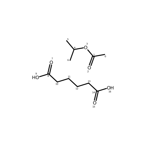 CC(=O)OC(C)C.O=C(O)CCCCC(=O)O